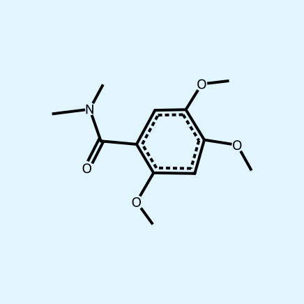 COc1cc(OC)c(C(=O)N(C)C)cc1OC